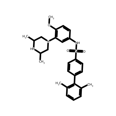 COc1ccc(NS(=O)(=O)c2ccc(-c3c(C)cccc3C)cc2)cc1N1CC(C)NC(C)C1